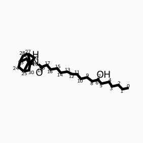 CCCCCCC(O)CCCCCCCCCCC(=O)NC12CC3CC(CC(C3)C1)C2